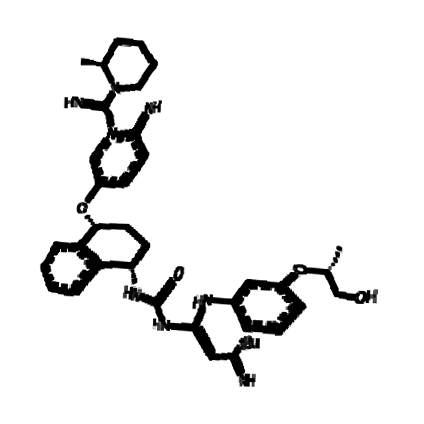 C[C@H](CO)Oc1cccc(N/C(=C\C(=N)C(C)(C)C)NC(=O)N[C@H]2CC[C@@H](Oc3ccc(=N)n(C(=N)N4CCCC[C@@H]4C)c3)c3ccccc32)c1